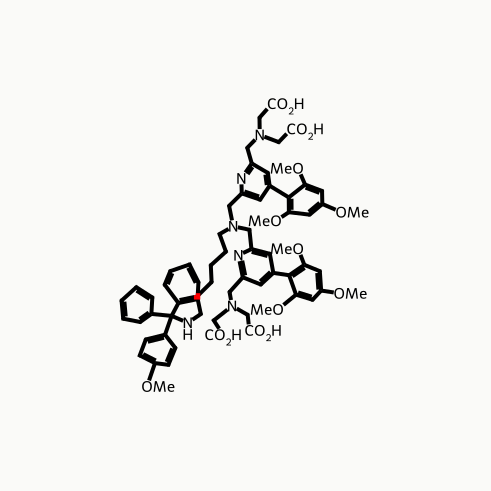 COc1ccc(C(NCCCCCCN(Cc2cc(-c3c(OC)cc(OC)cc3OC)cc(CN(CC(=O)O)CC(=O)O)n2)Cc2cc(-c3c(OC)cc(OC)cc3OC)cc(CN(CC(=O)O)CC(=O)O)n2)(c2ccccc2)c2ccccc2)cc1